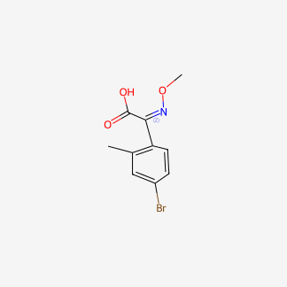 CO/N=C(\C(=O)O)c1ccc(Br)cc1C